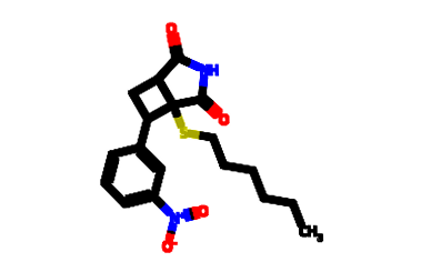 CCCCCCSC12C(=O)NC(=O)C1CC2c1cccc([N+](=O)[O-])c1